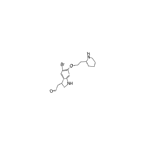 O=CCC1CNc2cc(OCCC3CCCCN3)c(Br)cc21